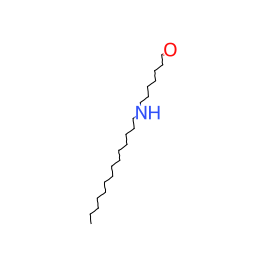 CCCCCCCCCCCCCCNCCCCCCC=O